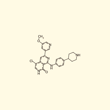 COc1cncc(-c2cc3c(Cl)c[nH]c(=O)c3c(Nc3ccc(C4CCNCC4)cc3)n2)c1